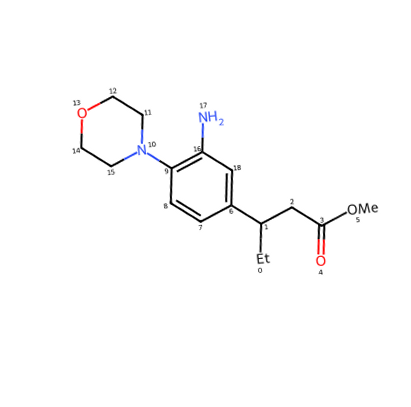 CCC(CC(=O)OC)c1ccc(N2CCOCC2)c(N)c1